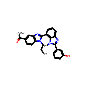 CCCn1c(-c2cccc(O)c2)nc2cccc(-c3nc4cc(C(=O)OC)ccc4n3CCC(C)C)c21